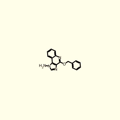 Nn1cnc2c(OCc3ccccc3)nc3ccccc3c21